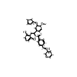 COc1ccc(C(Cc2c(Cl)cncc2Cl)OC(=O)c2ccc(CNc3cccnc3)cc2)cc1OC1CCCC1